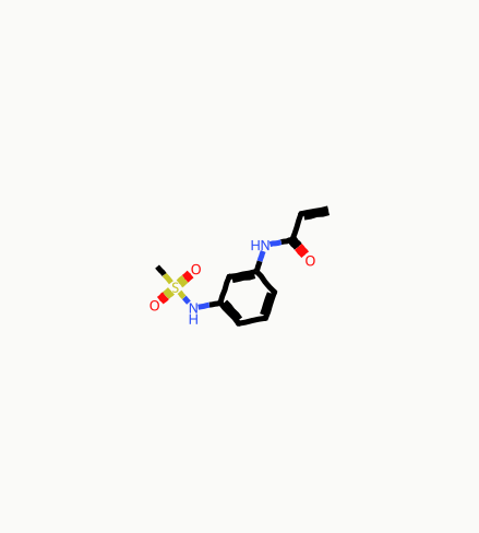 C=CC(=O)Nc1cccc(NS(C)(=O)=O)c1